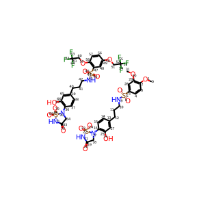 COc1ccc(S(=O)(=O)NCCCc2ccc(N3CC(=O)NS3(=O)=O)c(O)c2)cc1OC.O=C1CN(c2ccc(CCCNS(=O)(=O)c3cc(OCC(F)(F)F)ccc3OCC(F)(F)F)cc2O)S(=O)(=O)N1